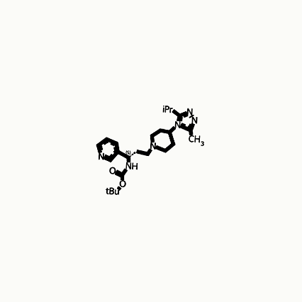 Cc1nnc(C(C)C)n1C1CCN(CC[C@H](NC(=O)OC(C)(C)C)c2cccnc2)CC1